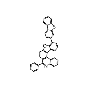 c1ccc(-c2nc3ccccc3c3c2ccc2oc4c(-c5ccc6c(c5)sc5ccccc56)cccc4c23)cc1